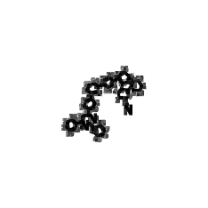 N#Cc1ccc2c(c1)C1(CCCCC1)c1cccc(-c3ccc(-c4cccc(C5=CCC(c6cc(-c7ccccc7)nc(-c7ccccc7)n6)C=C5)c4)cc3)c1-2